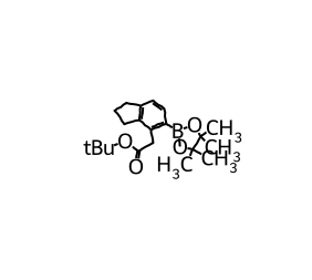 CC(C)(C)OC(=O)Cc1c(B2OC(C)(C)C(C)(C)O2)ccc2c1CCC2